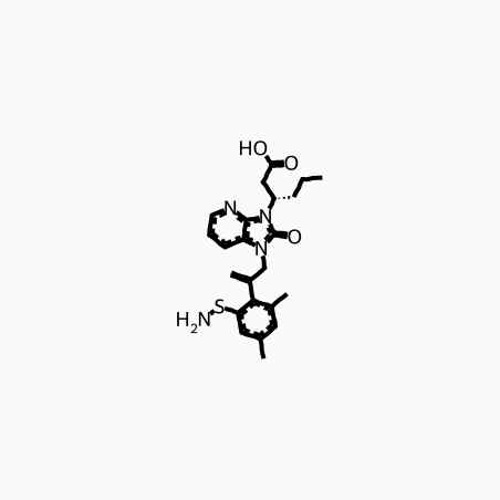 C=C(Cn1c(=O)n([C@@H](CCC)CC(=O)O)c2ncccc21)c1c(C)cc(C)cc1SN